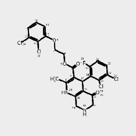 CC1=C(C(=O)OCCOc2cccc(Cl)c2Cl)C(c2c(F)ccc(Cl)c2Cl)C2=C(CNCC2=O)N1